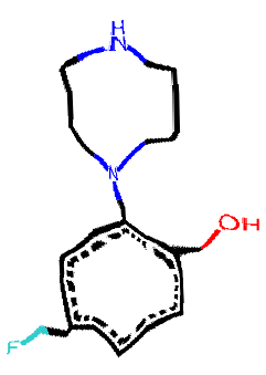 Oc1ccc(F)cc1N1CCNCC1